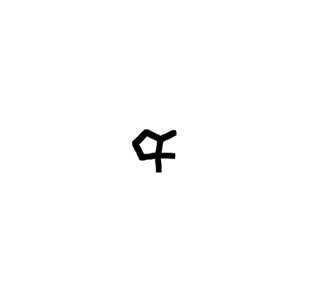 CC1CC[CH]C1(C)C